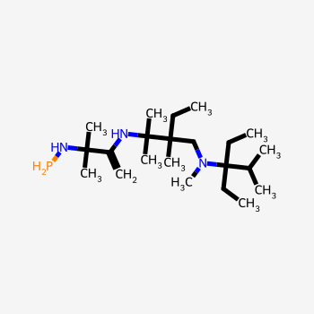 C=C(NC(C)(C)C(C)(CC)CN(C)C(CC)(CC)C(C)C)C(C)(C)NP